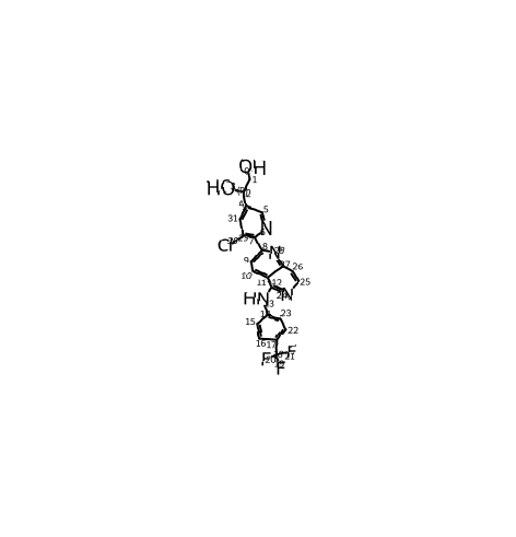 OC[C@H](O)c1cnc(-c2ccc3c(Nc4ccc(C(F)(F)F)cc4)nccc3n2)c(Cl)c1